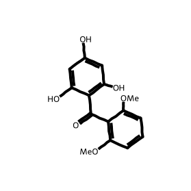 COc1cccc(OC)c1C(=O)c1c(O)cc(O)cc1O